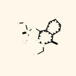 CCOP(=S)(OCC)Oc1nn(CCl)c(=O)c2ccccc12